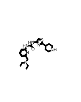 CCN(CC)Cc1cccc(NC(=O)Nc2csc(C3CCNCC3)n2)n1